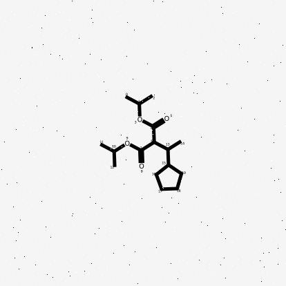 CC(C)OC(=O)C(C(=O)OC(C)C)C(C)C1CCCC1